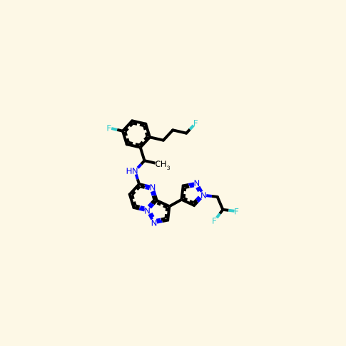 CC(Nc1ccn2ncc(-c3cnn(CC(F)F)c3)c2n1)c1cc(F)ccc1CCCF